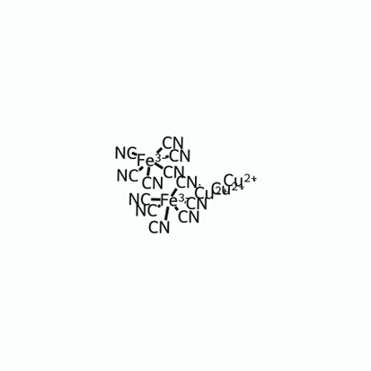 N#[C][Fe-3]([C]#N)([C]#N)([C]#N)([C]#N)[C]#N.N#[C][Fe-3]([C]#N)([C]#N)([C]#N)([C]#N)[C]#N.[Cu+2].[Cu+2].[Cu+2]